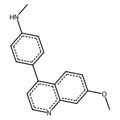 CNc1ccc(-c2ccnc3cc(OC)ccc23)cc1